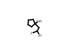 CCCC1(CC(F)CC)CCCC1